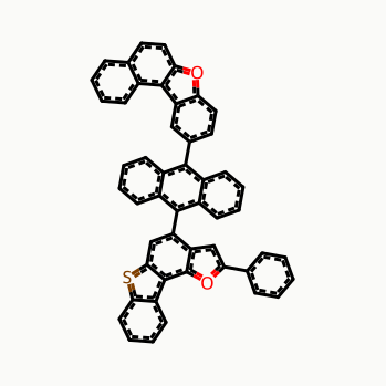 c1ccc(-c2cc3c(-c4c5ccccc5c(-c5ccc6oc7ccc8ccccc8c7c6c5)c5ccccc45)cc4sc5ccccc5c4c3o2)cc1